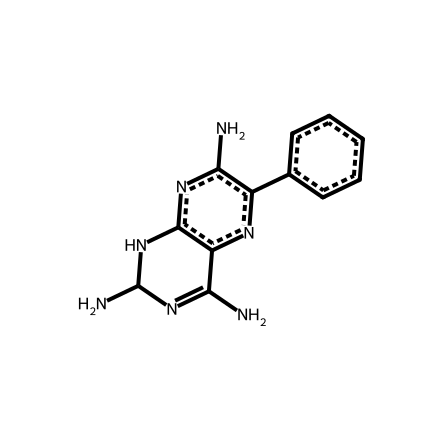 NC1=NC(N)Nc2nc(N)c(-c3ccccc3)nc21